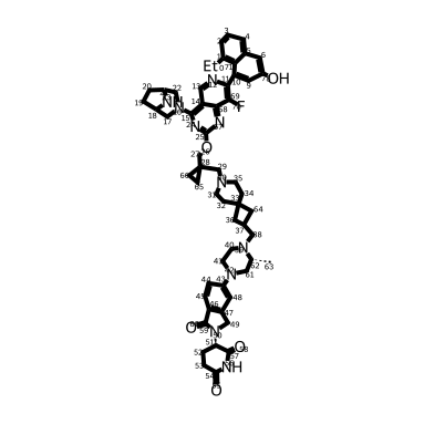 CCc1cccc2cc(O)cc(-c3ncc4c(N5CC6CCC(C5)N6)nc(OCC5(CN6CCC7(CC6)CC(CN6CCN(c8ccc9c(c8)CN([C@H]8CCC(=O)NC8=O)C9=O)C[C@H]6C)C7)CC5)nc4c3F)c12